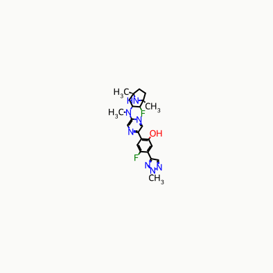 CN(c1cnc(-c2cc(F)c(-c3cnn(C)n3)cc2O)cn1)[C@H]1C[C@]2(C)CC[C@@](C)(N2)[C@H]1F